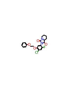 O=C1C2CCCCN2C(=O)N1c1cc(OCCOc2ccccc2)c(Cl)cc1F